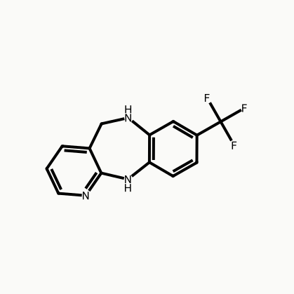 FC(F)(F)c1ccc2c(c1)NCc1cccnc1N2